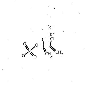 C=CCl.C=CCl.O=S(=O)([O-])[O-].[K+].[K+]